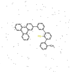 Cc1ccccc1-c1cccc(-c2cccc(-c3ccc4c5ccccc5c5ccccc5c4c3)c2)c1S